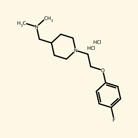 CN(C)CC1CCN(CCOc2ccc(F)cc2)CC1.Cl.Cl